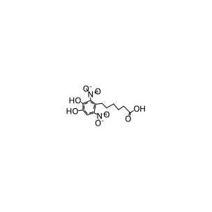 O=C(O)CCCCCc1c([N+](=O)[O-])cc(O)c(O)c1[N+](=O)[O-]